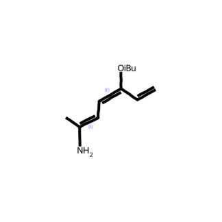 C=C/C(=C\C=C(/C)N)OCC(C)C